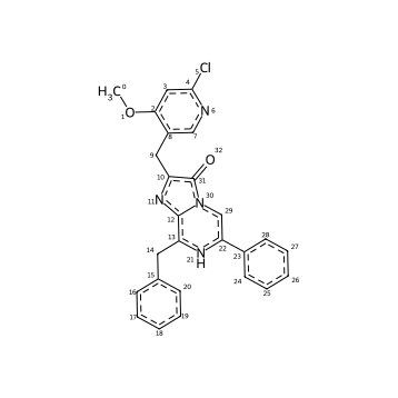 COc1cc(Cl)ncc1Cc1nc2c(Cc3ccccc3)[nH]c(-c3ccccc3)cn-2c1=O